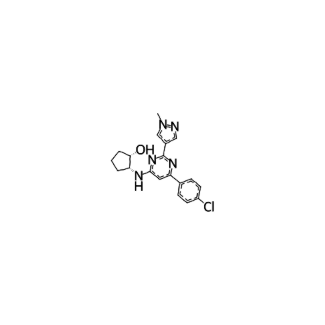 Cn1cc(-c2nc(N[C@@H]3CCC[C@@H]3O)cc(-c3ccc(Cl)cc3)n2)cn1